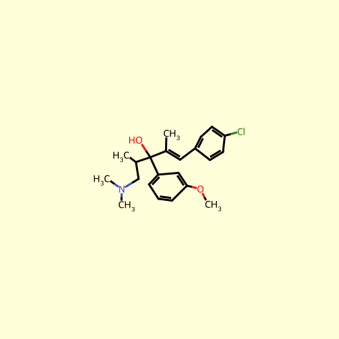 COc1cccc(C(O)(C(C)=Cc2ccc(Cl)cc2)C(C)CN(C)C)c1